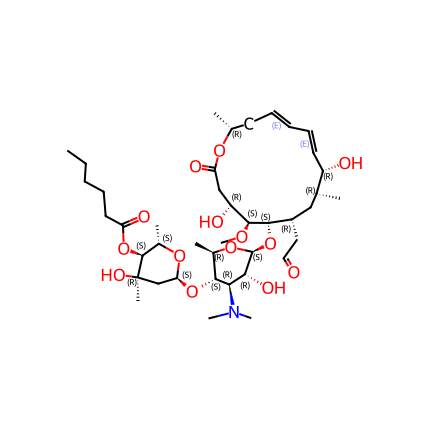 CCCCCC(=O)O[C@H]1[C@H](C)O[C@@H](O[C@H]2[C@H](N(C)C)[C@@H](O)[C@H](O[C@H]3[C@@H](CC=O)C[C@@H](C)[C@@H](O)/C=C/C=C/C[C@@H](C)OC(=O)C[C@@H](O)[C@@H]3OC)O[C@@H]2C)C[C@@]1(C)O